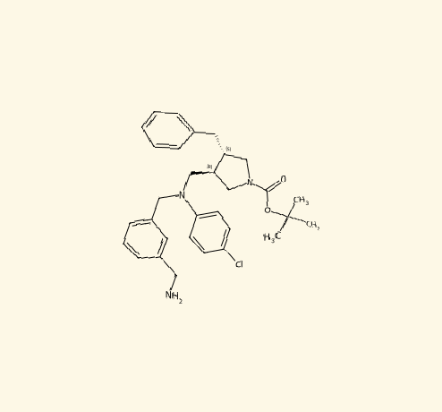 CC(C)(C)OC(=O)N1C[C@@H](Cc2ccccc2)[C@H](CN(Cc2cccc(CN)c2)c2ccc(Cl)cc2)C1